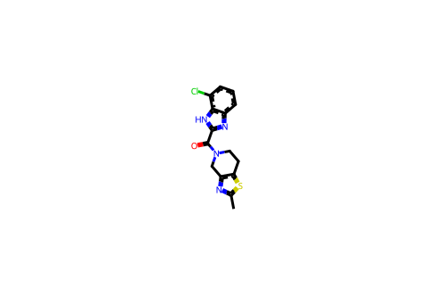 Cc1nc2c(s1)CCN(C(=O)c1nc3cccc(Cl)c3[nH]1)C2